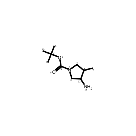 CC1CN(C(=O)OC(C)(C)C)CC1N